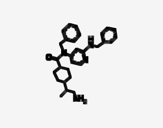 CC(CN)C1CCC(C(=O)N(Cc2ccccc2)c2ccnc(NCc3ccccc3)c2)CC1